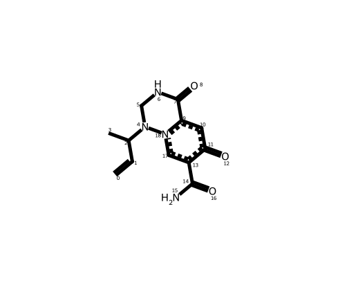 C=CC(C)N1CNC(=O)c2cc(=O)c(C(N)=O)cn21